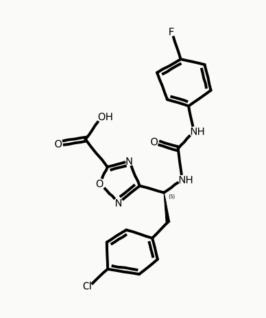 O=C(Nc1ccc(F)cc1)N[C@@H](Cc1ccc(Cl)cc1)c1noc(C(=O)O)n1